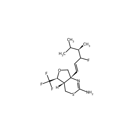 CC(C)[C@@H](C)C(F)/C=C/[C@]12CO[C@H](C(F)(F)F)[C@H]1CSC(N)=N2